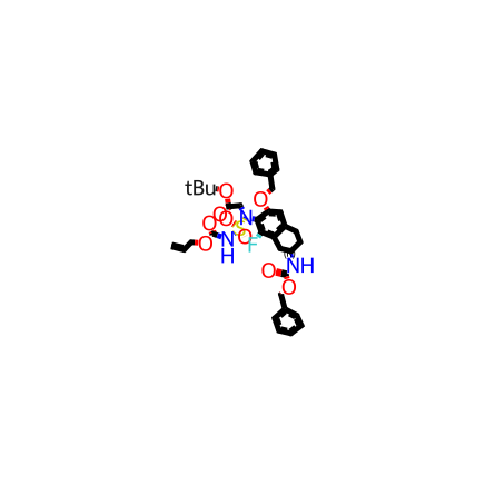 C=CCOC(=O)NS(=O)(=O)N(CC(=O)OC(C)(C)C)c1c(OCc2ccccc2)cc2c(c1F)C[C@H](NC(=O)OCc1ccccc1)CC2